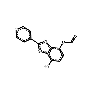 O=COc1ccc(O)c2sc(-c3ccncc3)nc12